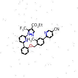 CCOC(=O)c1cnn(-c2cccc(-c3ccccc3OCc3ccc(-c4ccc(C#N)cn4)cc3C)n2)c1C(F)(F)F